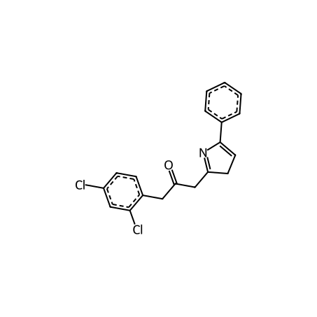 O=C(CC1=NC(c2ccccc2)=CC1)Cc1ccc(Cl)cc1Cl